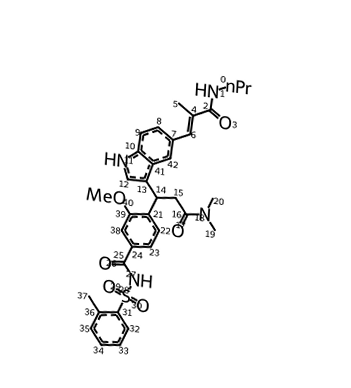 CCCNC(=O)/C(C)=C/c1ccc2[nH]cc(C(CC(=O)N(C)C)c3ccc(C(=O)NS(=O)(=O)c4ccccc4C)cc3OC)c2c1